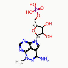 CN1N=C(N)c2cn([C@@H]3O[C@H](COP(=O)(O)O)C(O)C3O)c3ncnc1c23